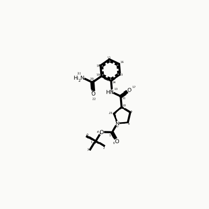 CC(C)(C)OC(=O)N1CCC(C(=O)Nc2ccccc2C(N)=O)C1